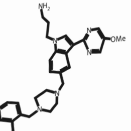 COc1cnc(-c2cn(CCCN)c3ccc(CN4CCN(Cc5ccccc5Cl)CC4)cc23)nc1